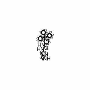 O=C(Nc1cnc2[nH]ccc2n1)NC1CCCN(C(c2ccccc2)(c2ccccc2)c2ccccc2)C1